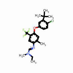 CCN(C)/C=N/c1cc(C(F)(F)F)c(Oc2ccc(Cl)c(C(C)(C)C)c2)cc1C